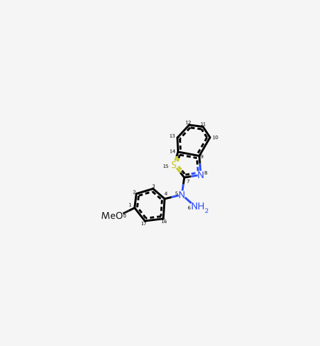 COc1ccc(N(N)c2nc3ccccc3s2)cc1